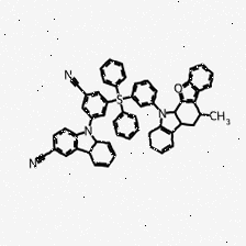 CC1CC2C3=C(CCC=C3)N(c3cccc(S(c4ccccc4)(c4ccccc4)c4cc(C#N)cc(N5c6ccc(C#N)cc6C6C=CC=CC65)c4)c3)C2c2oc3ccccc3c21